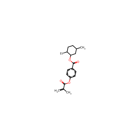 C=C(C)C(=O)Oc1ccc(C(=O)OC2CC(C)CCC2CC)cc1